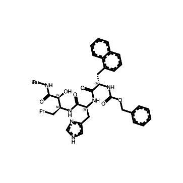 CCC(C)NC(=O)[C@@H](O)[C@H](CC(C)C)NC(=O)[C@H](Cc1c[nH]cn1)NC(=O)[C@H](Cc1cccc2ccccc12)NC(=O)OCc1ccccc1